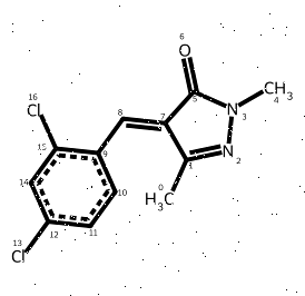 CC1=NN(C)C(=O)C1=Cc1ccc(Cl)cc1Cl